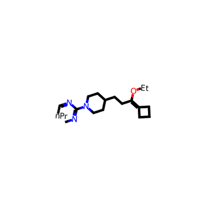 CCC/C=N\C(=N/C)N1CCC(CCC(OCC)=C2CCC2)CC1